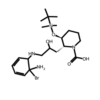 CC(C)(C)[Si](C)(C)O[C@H]1CCCN(C(=O)O)[C@@H]1CC(O)CNC1C=CC=CC1(N)Br